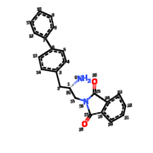 N[C@@H](Cc1ccc(-c2ccccc2)cc1)CN1C(=O)c2ccccc2C1=O